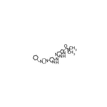 CN(C)C(=O)c1cc2cnc(Nc3ccc(N4CCN(Cc5ccccc5)CC4)cn3)nc2[nH]1